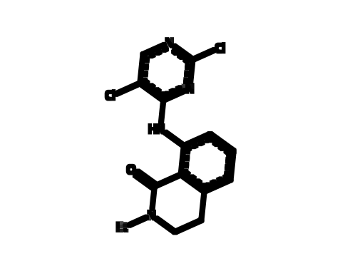 CCN1CCc2cccc(Nc3nc(Cl)ncc3Cl)c2C1=O